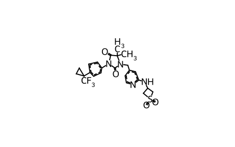 CC1(C)C(=O)N(c2ccc(C3(C(F)(F)F)CC3)cc2)C(=O)N1Cc1ccnc(NC2CS(=O)(=O)C2)c1